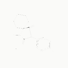 CC(C)N1C(=O)N(c2ccc(C(F)(F)F)nc2)C(=O)C12CCNCC2.Cl